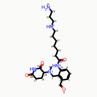 CN(Cc1c(C=O)cccc1NC(=O)CCCCCCNCCCN)C1CCC(=O)NC1=O